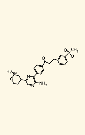 C[C@H]1CC(c2cnc(N)c(-c3ccc(C(=O)CCc4cccc(S(C)(=O)=O)c4)cc3)n2)CCO1